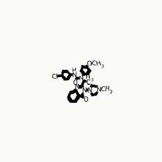 COc1ccc(N(C(=O)Nc2ccc(Cl)cc2)C(C)c2nc3ccccc3c(=O)n2N2CCN(C)CC2)cc1